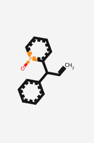 C=CC(c1ccccc1)c1cccc[p+]1[O-]